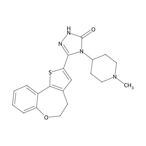 CN1CCC(n2c(-c3cc4c(s3)-c3ccccc3OCC4)n[nH]c2=O)CC1